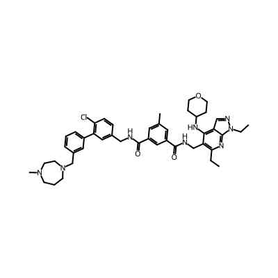 CCc1nc2c(cnn2CC)c(NC2CCOCC2)c1CNC(=O)c1cc(C)cc(C(=O)NCc2ccc(Cl)c(-c3cccc(CN4CCCN(C)CC4)c3)c2)c1